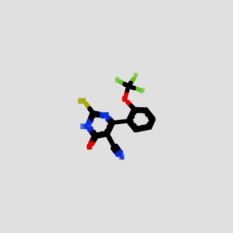 N#Cc1c(-c2ccccc2OC(F)(F)F)nc(S)[nH]c1=O